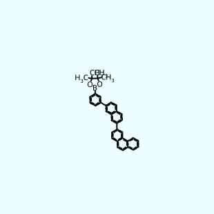 CC1(C)OB(c2cccc(-c3ccc4ccc(-c5ccc6ccc7ccccc7c6c5)cc4c3)c2)OC1(C)C